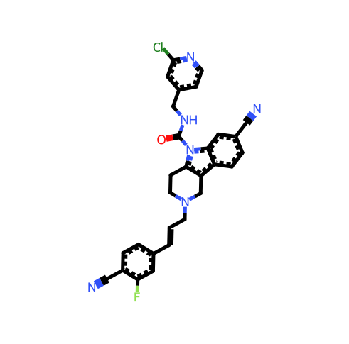 N#Cc1ccc2c3c(n(C(=O)NCc4ccnc(Cl)c4)c2c1)CCN(CC=Cc1ccc(C#N)c(F)c1)C3